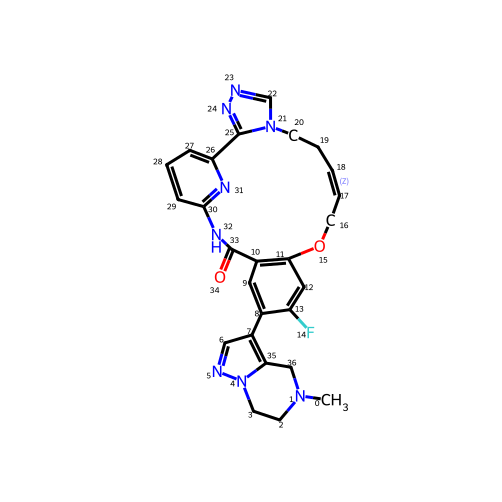 CN1CCn2ncc(-c3cc4c(cc3F)OC/C=C\CCn3cnnc3-c3cccc(n3)NC4=O)c2C1